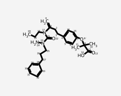 C=C(CCc1ccc(OC(C)(C)C(=O)O)cc1)N(CCC)C(=O)N(N)CCCc1ccccc1